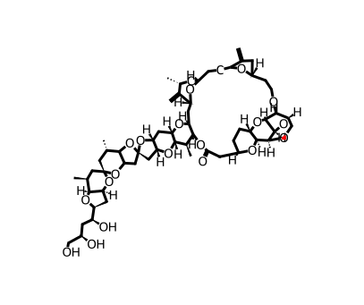 C=C1C[C@@H]2CCO[C@H]3[C@@H]4O[C@H]5CC[C@H](CC(=O)O[C@@H]6[C@@H](C)[C@@H]7O[C@@H]8C[C@]9(CC%10O[C@@]%11(C[C@H](C)C%10O9)C[C@H](C)[C@@H]9O[C@H]([C@@H](O)C[C@@H](O)CO)C[C@@H]9O%11)O[C@@H]8C[C@@H]7O[C@H]6C[C@H]6O[C@@H](CCC1O2)C[C@@H](C)C6=C)O[C@@H]5[C@@H]1OC[C@@H]3O[C@@H]14